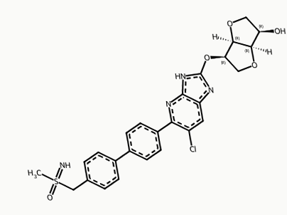 CS(=N)(=O)Cc1ccc(-c2ccc(-c3nc4[nH]c(O[C@@H]5CO[C@H]6[C@@H]5OC[C@H]6O)nc4cc3Cl)cc2)cc1